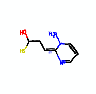 NN1C=CC=N/C1=C/CC(O)S